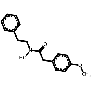 COc1ccc(CC(=O)N(O)CCc2ccccc2)cc1